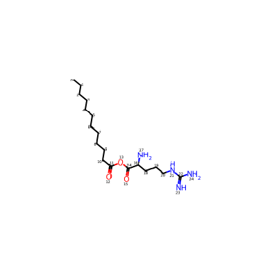 CCCCCCCCCCCC(=O)OC(=O)[C@@H](N)CCCNC(=N)N